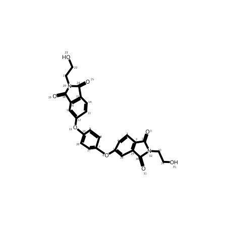 O=C1c2ccc(Oc3ccc(Oc4ccc5c(c4)C(=O)N(CCO)C5=O)cc3)cc2C(=O)N1CCO